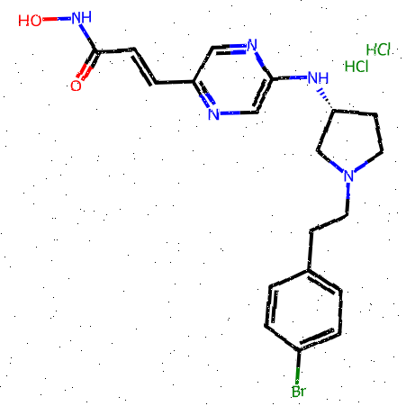 Cl.Cl.O=C(/C=C/c1cnc(N[C@@H]2CCN(CCc3ccc(Br)cc3)C2)cn1)NO